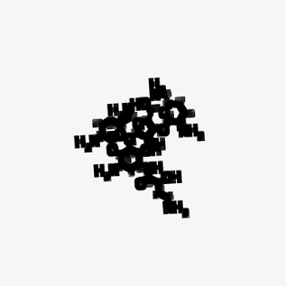 NCC[C@H](O)C(=O)N[C@@H]1C[C@H](N)[C@@H](O[C@H]2O[C@H](CN)CC[C@H]2N)[C@H](O[C@@H]2O[C@H](CO)[C@@H](O[C@H]3O[C@H](CN)CC[C@H]3N)[C@H]2O)[C@H]1O